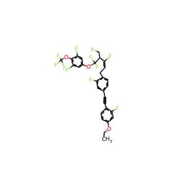 CCOc1ccc(C#Cc2ccc(C/C=C(/F)C(CF)C(F)(F)Oc3cc(F)c(OC(F)(F)F)c(F)c3)c(F)c2)c(F)c1